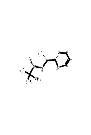 C[C@@H](N[S@+]([O-])C(C)(C)C)[C@@H]1CCC=CO1